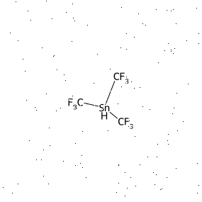 F[C](F)(F)[SnH]([C](F)(F)F)[C](F)(F)F